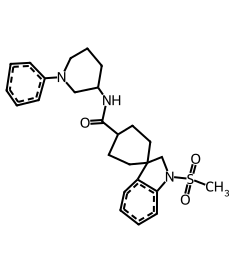 CS(=O)(=O)N1CC2(CCC(C(=O)NC3CCCN(c4ccccc4)C3)CC2)c2ccccc21